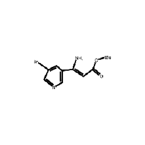 CC(C)(C)OC(=O)C=C(N)c1cncc(Br)c1